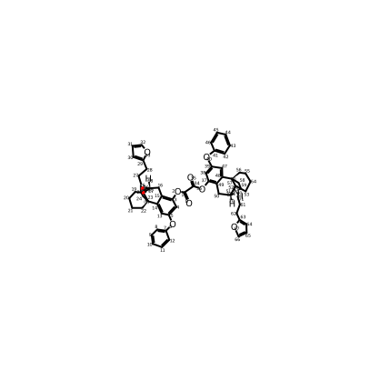 O=C(Oc1cc(Oc2ccccc2)cc2c1C[C@@H]1[C@@H]3CCCC[C@]23CCN1CCc1ccco1)C(=O)Oc1cc(Oc2ccccc2)cc2c1C[C@@H]1[C@@H]3CCCC[C@]23CCN1CCc1ccco1